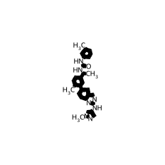 Cc1cccc(NC(=O)NC(C)c2ccc(C)c(-c3ccc4nc(Nc5cnn(C)c5)ncc4c3)c2)c1